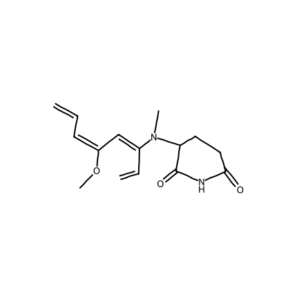 C=C/C=C(\C=C(/C=C)N(C)C1CCC(=O)NC1=O)OC